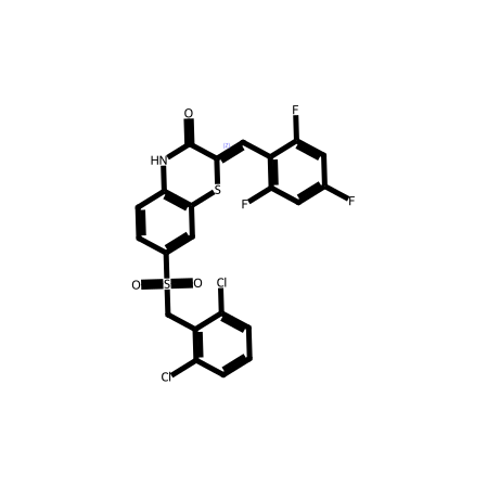 O=C1Nc2ccc(S(=O)(=O)Cc3c(Cl)cccc3Cl)cc2S/C1=C\c1c(F)cc(F)cc1F